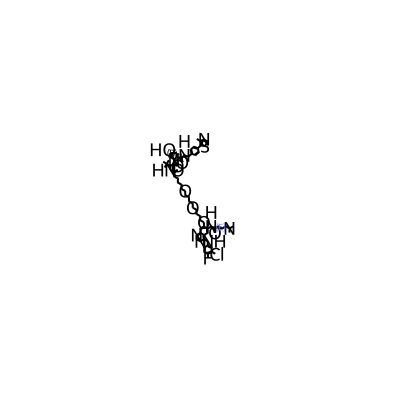 Cc1ncsc1-c1ccc(CNC(=O)[C@@H]2C[C@@H](O)CN2C(=O)C(NC(=O)CCCCCOCCCCOCCCCOc2cc3ncnc(Nc4ccc(F)c(Cl)c4)c3cc2NC(=O)/C=C/CN(C)C)C(C)(C)C)cc1